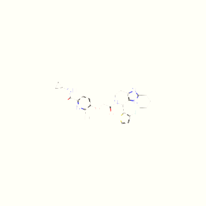 CCc1nc(C(=O)NC2CC2)ccc1OCC(=O)N1CCc2nc3n(c2C1c1sccc1F)CCCC3